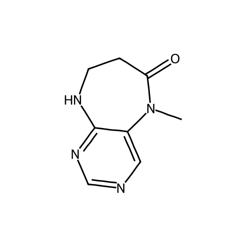 CN1C(=O)CCNc2ncncc21